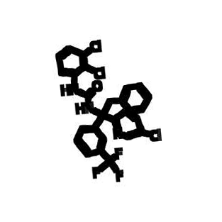 O=C(Nc1cccc(Cl)c1Cl)NC(Cc1ccccc1)(c1cccc(C(F)(F)F)c1)c1ccc(Cl)cn1